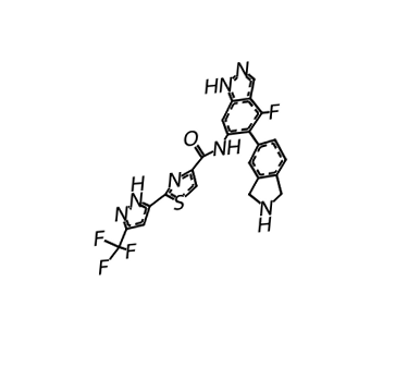 O=C(Nc1cc2[nH]ncc2c(F)c1-c1ccc2c(c1)CNC2)c1csc(-c2cc(C(F)(F)F)n[nH]2)n1